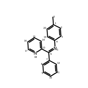 Cc1ccc(N=C(c2ccccc2)c2ccccn2)cc1